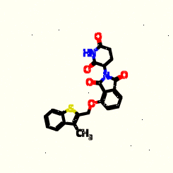 Cc1c(COc2cccc3c2C(=O)N(C2CCC(=O)NC2=O)C3=O)sc2ccccc12